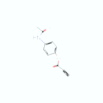 C#CC(=O)Oc1ccc(NC(C)=O)cc1